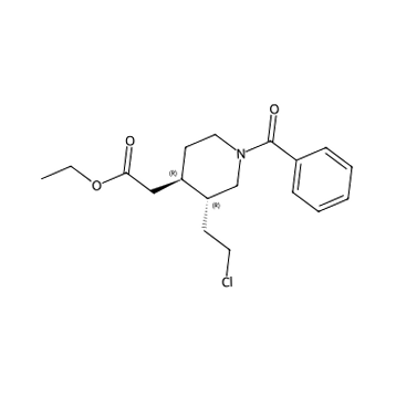 CCOC(=O)C[C@H]1CCN(C(=O)c2ccccc2)C[C@@H]1CCCl